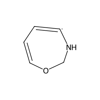 [C]1=CC=COCN1